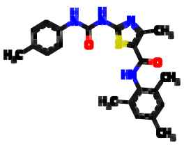 Cc1ccc(NC(=O)Nc2nc(C)c(C(=O)Nc3c(C)cc(C)cc3C)s2)cc1